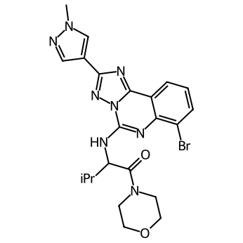 CC(C)C(Nc1nc2c(Br)cccc2c2nc(-c3cnn(C)c3)nn12)C(=O)N1CCOCC1